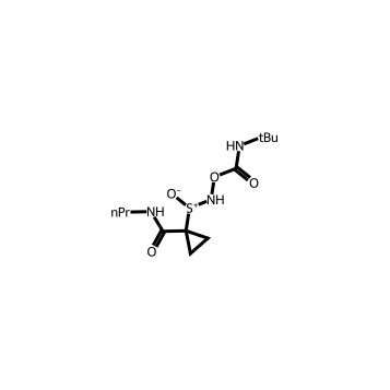 CCCNC(=O)C1([S+]([O-])NOC(=O)NC(C)(C)C)CC1